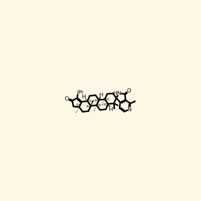 Cc1nccc2c1C(=O)NC21CC[C@]2(C)[C@H]3CC[C@@H]4C5=C(C(C)C)C(=O)C[C@]5(C)CC[C@@]4(C)[C@]3(C)CC[C@H]2C1(C)C